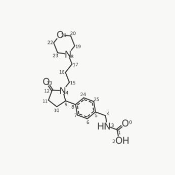 O=C(O)NCc1ccc(C2CCC(=O)N2CCCN2CCOCC2)cc1